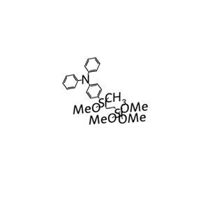 CO[Si](CC[Si](C)(OC)c1ccc(N(c2ccccc2)c2ccccc2)cc1)(OC)OC